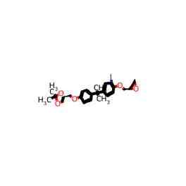 CC1(C)OC[C@H](COc2ccc(C(C)(C)c3ccc(OC[C@H]4CO4)c(I)c3)cc2)O1